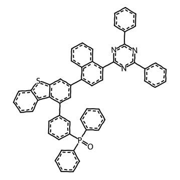 O=P(c1ccccc1)(c1ccccc1)c1cccc(-c2cc(-c3ccc(-c4nc(-c5ccccc5)nc(-c5ccccc5)n4)c4ccccc34)cc3sc4ccccc4c23)c1